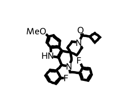 COc1ccc2c3c([nH]c2c1)C(c1ccccc1F)N(Cc1ccccc1F)CC31CCN(C(=O)C2CCC2)CC1